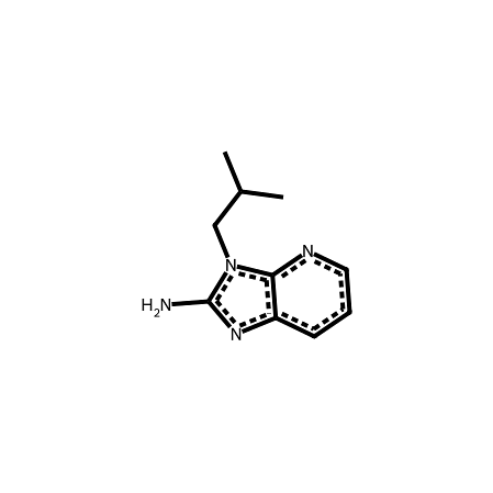 CC(C)Cn1c(N)nc2cccnc21